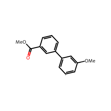 COC(=O)c1cccc(-c2c[c]cc(OC)c2)c1